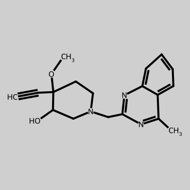 C#CC1(OC)CCN(Cc2nc(C)c3ccccc3n2)CC1O